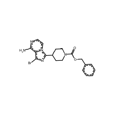 Nc1nccn2c(C3CCN(C(=O)OCc4ccccc4)CC3)nc(Br)c12